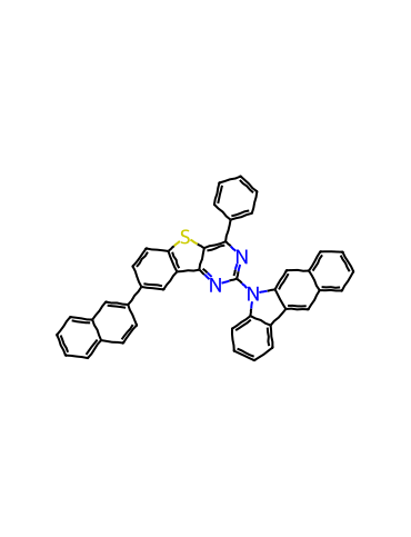 c1ccc(-c2nc(-n3c4ccccc4c4cc5ccccc5cc43)nc3c2sc2ccc(-c4ccc5ccccc5c4)cc23)cc1